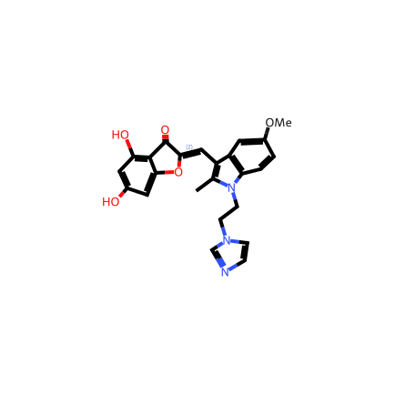 COc1ccc2c(c1)c(/C=C1\Oc3cc(O)cc(O)c3C1=O)c(C)n2CCn1ccnc1